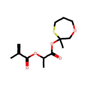 C=C(C)C(=O)OC(C)C(=O)OC1(C)COCCCS1